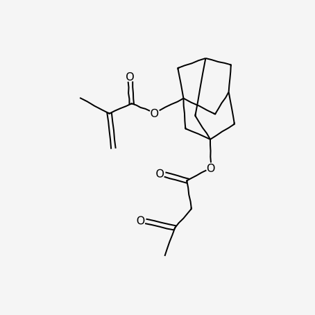 C=C(C)C(=O)OC12CC3CC(CC(OC(=O)CC(C)=O)(C3)C1)C2